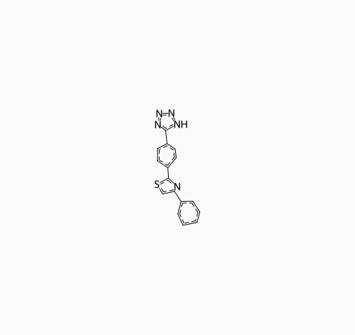 c1ccc(-c2csc(-c3ccc(-c4nnn[nH]4)cc3)n2)cc1